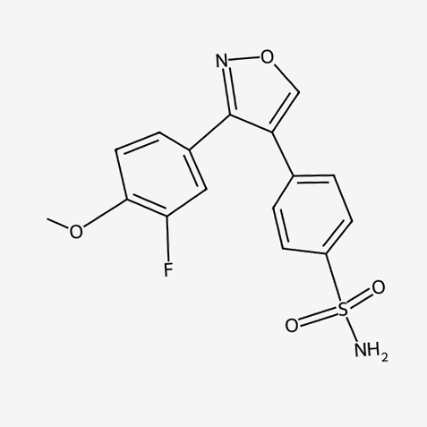 COc1ccc(-c2nocc2-c2ccc(S(N)(=O)=O)cc2)cc1F